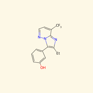 CCc1nc2c(C(F)(F)F)ccnn2c1-c1cccc(O)c1